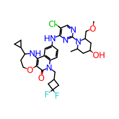 COCC1CC(O)CC(C)N1c1ncc(Cl)c(Nc2ccc3c(c2)c2c(c(=O)n3CC3CC(F)(F)C3)OCCC(C3CC3)N2)n1